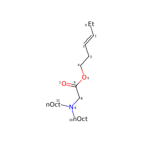 CCC=CCCOC(=O)CN(CCCCCCCC)CCCCCCCC